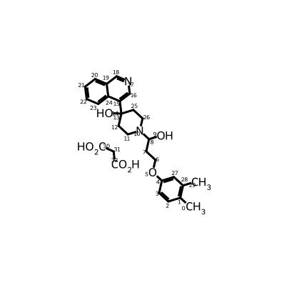 Cc1ccc(OCCC(O)N2CCC(O)(c3cncc4ccccc34)CC2)cc1C.O=C(O)CC(=O)O